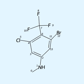 CNc1cc(Cl)c(C(F)(F)F)c(Br)c1